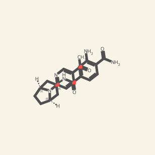 CC(=O)c1ccc(N2[C@@H]3CC[C@H]2C[C@@H](NC(=O)c2ccc(C(N)=O)c(N)c2)C3)nc1